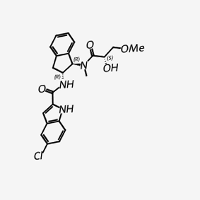 COC[C@H](O)C(=O)N(C)[C@@H]1c2ccccc2C[C@H]1NC(=O)c1cc2cc(Cl)ccc2[nH]1